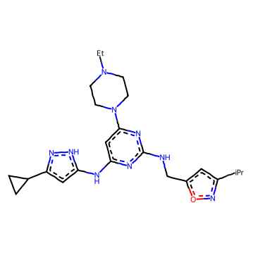 CCN1CCN(c2cc(Nc3cc(C4CC4)n[nH]3)nc(NCc3cc(C(C)C)no3)n2)CC1